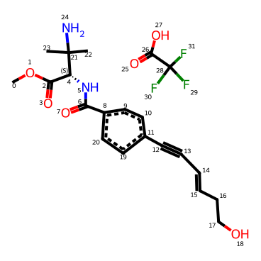 COC(=O)[C@@H](NC(=O)c1ccc(C#CC=CCCO)cc1)C(C)(C)N.O=C(O)C(F)(F)F